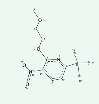 COCCOc1nc(C(F)(F)F)ccc1[N+](=O)[O-]